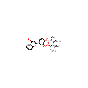 CC(=O)OCC1O[C@@H](Oc2ccc(-c3cc(=O)c4ccccc4o3)cc2O)C(OC(C)=O)C(OC(C)=O)[C@H]1OC(C)=O